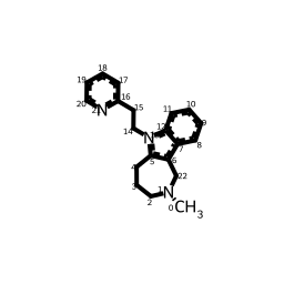 CN1CCCc2c(c3ccccc3n2CCc2ccccn2)C1